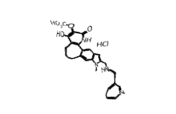 Cl.Cn1c(CNCc2cccnc2)cc2cc3c(cc21)CCCc1c-3[nH]c(=O)c(OC(=O)O)c1O